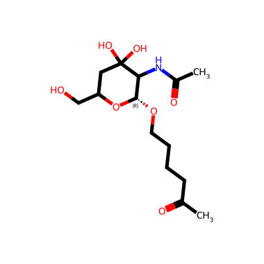 CC(=O)CCCCO[C@@H]1OC(CO)CC(O)(O)C1NC(C)=O